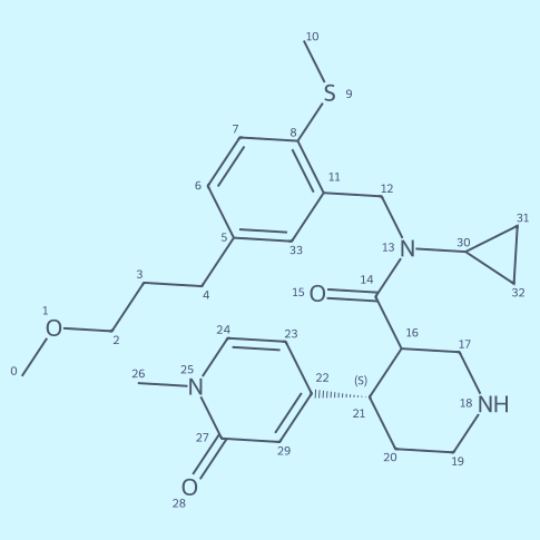 COCCCc1ccc(SC)c(CN(C(=O)C2CNCC[C@@H]2c2ccn(C)c(=O)c2)C2CC2)c1